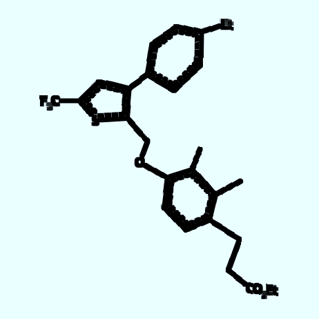 CCOC(=O)CCc1ccc(OCc2sc(C(F)(F)F)cc2-c2ccc(CC)cc2)c(C)c1C